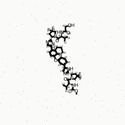 COC(=O)N[C@H](C(=O)N1CC(F)(F)C[C@H]1c1ncc(-c2ccc3c(c2)Oc2ccc(-c4cnc([C@@H]5CC(F)(F)CN5C(=O)[C@@H](NC(=O)CO)C(C)C)[nH]4)c4c2N3CCC4)[nH]1)C(C)C